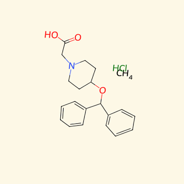 C.Cl.O=C(O)CN1CCC(OC(c2ccccc2)c2ccccc2)CC1